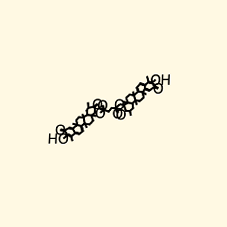 CC1=C(O)C(=O)C=C2C1=CC=C1C2(C)CCC2(C)C3CC(C)C(=O)C(OC(=O)CCC(=O)OC4C(=O)C(C)CC5C4(C)CCC4(C)C6=CC=C7C(=CC(=O)C(O)=C7C)C6(C)CCC54C)C3(C)CCC12C